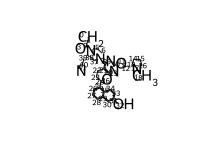 C=CC(=O)N1CCN(c2nc(OC[C@@H]3CCCN3C)nc3c2CCC(c2cccc4cc(O)ccc24)O3)C[C@@H]1CC#N